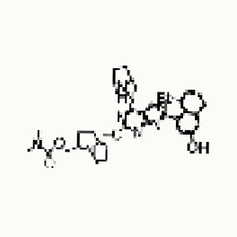 CCc1cccc2cc(O)cc(-c3ncc4c(N5CC6CCC(C5)N6)nc(OC[C@]56CCCN5[C@@H](COC(=O)N(C)C)CC6)nc4n3)c12